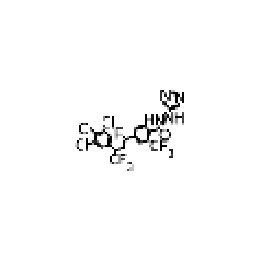 O=C(NNc1cncnc1)c1ccc(/C(F)=C/C(c2cc(Cl)c(Cl)c(Cl)c2)C(F)(F)F)cc1C(F)(F)F